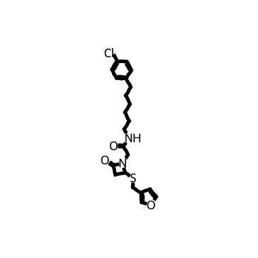 O=C(CN1C(=O)CC1SCc1ccoc1)NCCCCCCc1ccc(Cl)cc1